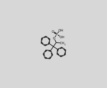 CC(OP(=O)(O)O)C(c1ccccc1)(c1ccccc1)c1ccccc1